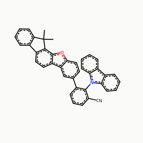 CC1(C)c2ccccc2-c2ccc3c(oc4ccc(-c5cccc(C#N)c5-n5c6ccccc6c6ccccc65)cc43)c21